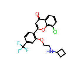 O=c1cc(-c2ccc(C(F)(F)F)cc2OCCNC2CCC2)oc2c(Cl)cccc12